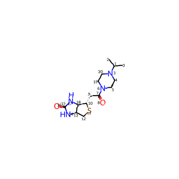 CC(C)N1CCN(C(=O)C[C@@H]2SCC3NC(=O)NC32)CC1